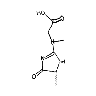 CC1NC(N(C)CC(=O)O)=NC1=O